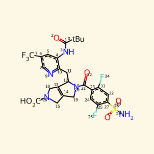 CC(C)(C)C(=O)Nc1cc(C(F)(F)F)cnc1[CH]C1C2=C(CN(C(=O)O)C2)CN1C(=O)c1cc(F)c(S(N)(=O)=O)cc1F